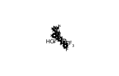 CN(C(=O)c1ccc(F)cc1C(F)(F)F)C1CCN(c2nnc(-c3ccnn3CI)c3ccccc23)C(I)C1.Cl